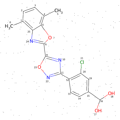 Cc1ccc(C)c2oc(-c3nc(-c4ccc(C(O)O)cc4Cl)no3)nc12